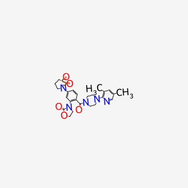 Cc1cnc(N2CCN(C(=O)c3ccc(N4CCCS4(=O)=O)cc3N3CCOC3=O)CC2)c(C)c1